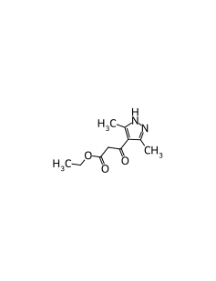 CCOC(=O)CC(=O)c1c(C)n[nH]c1C